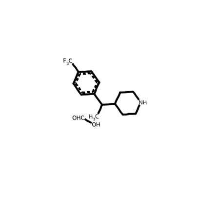 CC(c1ccc(C(F)(F)F)cc1)C1CCNCC1.O=CO